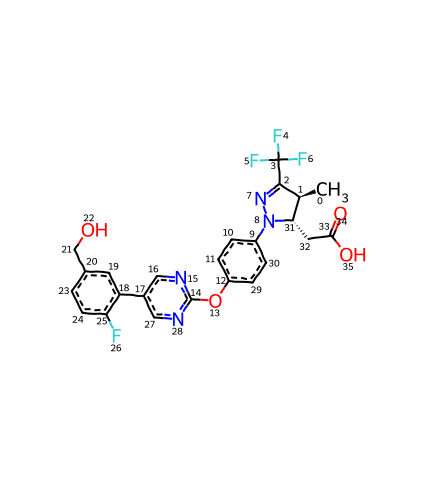 C[C@@H]1C(C(F)(F)F)=NN(c2ccc(Oc3ncc(-c4cc(CO)ccc4F)cn3)cc2)[C@H]1CC(=O)O